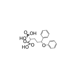 O=P(O)(O)C(CCC(Oc1ccccc1)c1ccccc1)S(=O)(=O)O